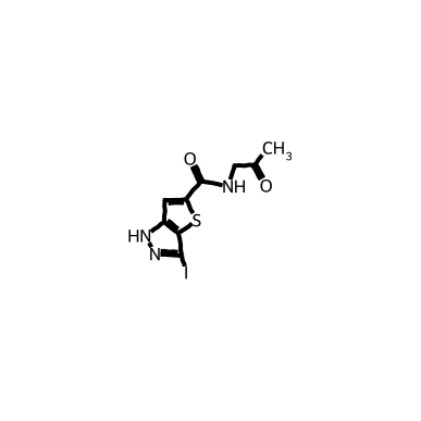 CC(=O)CNC(=O)c1cc2[nH]nc(I)c2s1